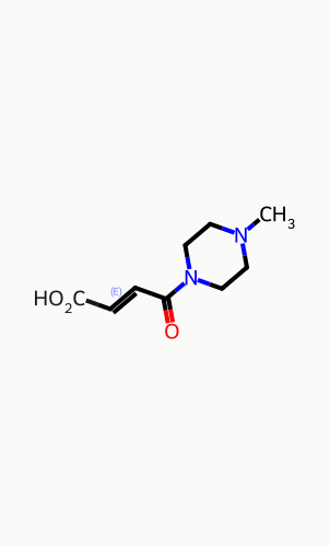 CN1CCN(C(=O)/C=C/C(=O)O)CC1